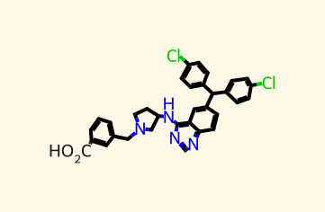 O=C(O)c1cccc(CN2CCC(Nc3ncnc4ccc(C(c5ccc(Cl)cc5)c5ccc(Cl)cc5)cc34)C2)c1